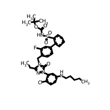 CCCCCNc1ccc(Cl)c(-n2nc(CC)n(Cc3ccc(-c4ccccc4S(=O)(=O)NC(=O)OC(C)(C)C)cc3F)c2=O)c1